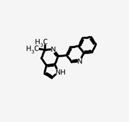 CC1(C)Cc2cc[nH]c2C(c2cnc3ccccc3c2)=N1